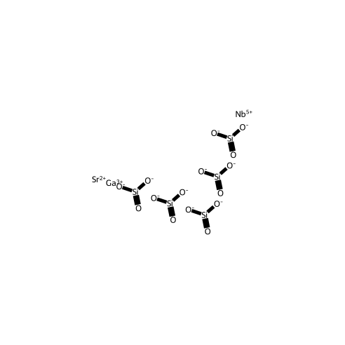 O=[Si]([O-])[O-].O=[Si]([O-])[O-].O=[Si]([O-])[O-].O=[Si]([O-])[O-].O=[Si]([O-])[O-].[Ga+3].[Nb+5].[Sr+2]